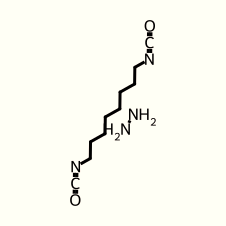 NN.O=C=NCCCCCCCCN=C=O